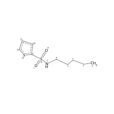 CCCCCNS(=O)(=O)c1cccs1